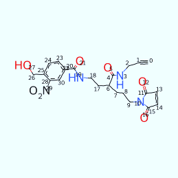 C#CCNC(=O)C(CCCN1C(=O)C=CC1=O)CCNC(=O)c1ccc(CO)c([N+](=O)[O-])c1